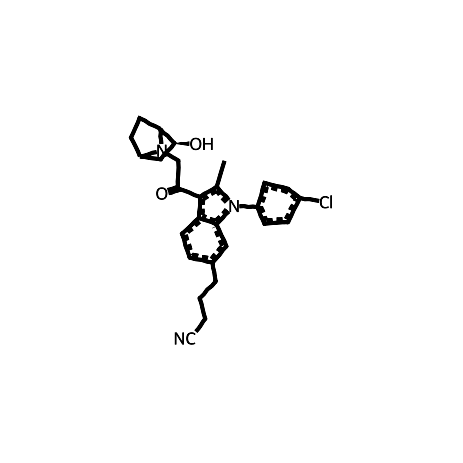 Cc1c(C(=O)CN2C3CCC2[C@@H](O)C3)c2ccc(CCCC#N)cc2n1-c1ccc(Cl)cc1